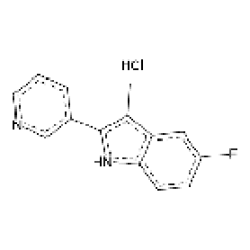 Cc1c(-c2cccnc2)[nH]c2ccc(F)cc12.Cl